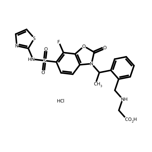 CC(c1ccccc1CNCC(=O)O)n1c(=O)oc2c(F)c(S(=O)(=O)Nc3nccs3)ccc21.Cl